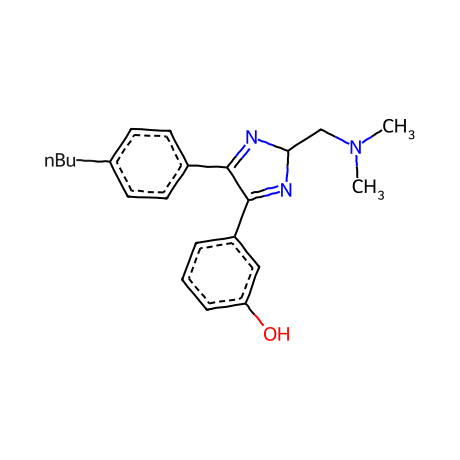 CCCCc1ccc(C2=NC(CN(C)C)N=C2c2cccc(O)c2)cc1